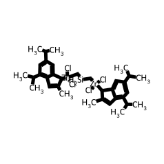 CC1=Cc2c(C(C)C)cc(C(C)C)cc2[CH]1[Zr]([Cl])([Cl])[CH2][SiH2][CH2][Zr]([Cl])([Cl])[CH]1C(C)=Cc2c(C(C)C)cc(C(C)C)cc21